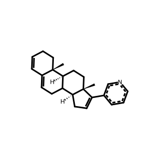 C[C@]12CCC=CC1=CCC1[C@@H]2CC[C@]2(C)C(c3cccnc3)=CC[C@@H]12